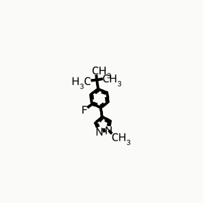 Cn1cc(-c2ccc(C(C)(C)C)cc2F)cn1